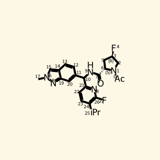 CC(=O)N1C[C@H](F)C[C@H]1C(=O)NC(c1ccc2cn(C)nc2c1)c1ccc(C(C)C)c(F)n1